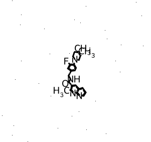 Cc1nc2ncccc2cc1C(=O)NCc1ccc(N2CCC(C)(C)CC2)c(F)c1